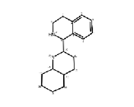 c1ccc2c(c1)CCNC2C1CCC2CCCCC2[N]1